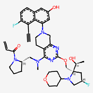 C#Cc1c(F)ccc2cc(O)cc(N3CCc4c(nc(OC[C@]5([C@H](C)O)C[C@@H](F)CN5C5CCOCC5)nc4N(C)C[C@@H]4CCCN4C(=O)C=C)C3)c12